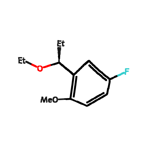 CCO[C@@H](CC)c1cc(F)ccc1OC